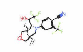 N#Cc1ccc(N2C[C@@H]3COC[C@@H]3[C@@H]2[C@@H](O)C(F)(F)F)cc1C(F)(F)F